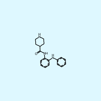 O=C(Nc1ccccc1Nc1ccccc1)C1CCNCC1